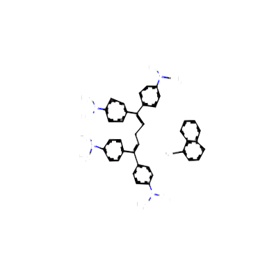 CC(=O)c1cccc2ccccc12.CN(C)c1ccc(C(=CCC=C(c2ccc(N(C)C)cc2)c2ccc(N(C)C)cc2)c2ccc(N(C)C)cc2)cc1